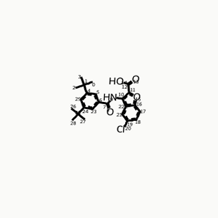 CC(C)(C)c1cc(C(=O)Nc2c(C(=O)O)oc3ccc(Cl)cc23)cc(C(C)(C)C)c1